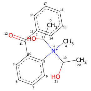 CC(O)[N+](C)(c1ccccc1C(=O)c1ccccc1)C(C)O